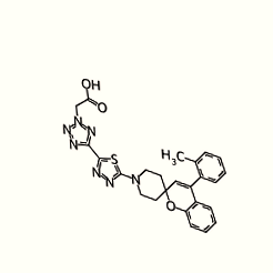 Cc1ccccc1C1=CC2(CCN(c3nnc(-c4nnn(CC(=O)O)n4)s3)CC2)Oc2ccccc21